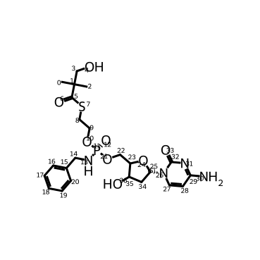 CC(C)(CO)C(=O)SCCOP(=O)(NCc1ccccc1)OCC1O[C@H](n2ccc(N)nc2=O)CC1O